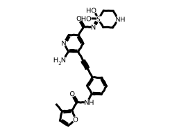 Cc1ccoc1C(=O)Nc1cccc(C#Cc2cc(C(=O)N=S3(O)(O)CCNCC3)cnc2N)c1